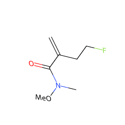 C=C(CCF)C(=O)N(C)OC